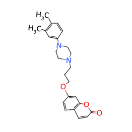 Cc1ccc(N2CCN(CCCOc3ccc4ccc(=O)oc4c3)CC2)cc1C